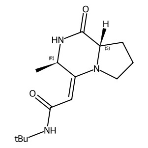 C[C@H]1NC(=O)[C@@H]2CCCN2C1=CC(=O)NC(C)(C)C